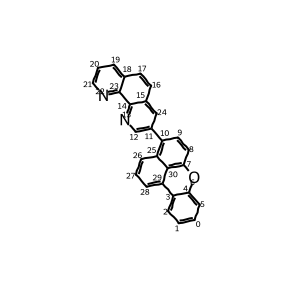 c1ccc2c(c1)Oc1ccc(-c3cnc4c(ccc5cccnc54)c3)c3cccc-2c13